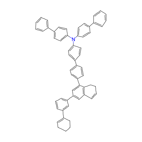 C1=Cc2cc(-c3cccc(C4=CCCCC4)c3)cc(-c3ccc(-c4ccc(N(c5ccc(-c6ccccc6)cc5)c5ccc(-c6ccccc6)cc5)cc4)cc3)c2CC1